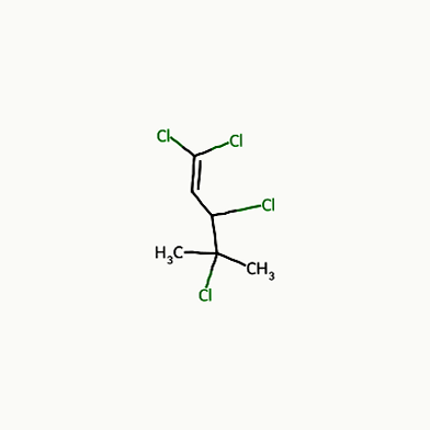 CC(C)(Cl)C(Cl)C=C(Cl)Cl